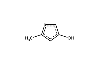 Cc1cc(O)cs1